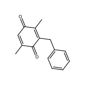 CC1=CC(=O)C(C)=C(Cc2ccccc2)C1=O